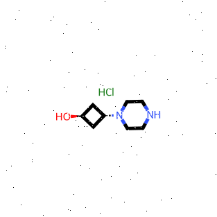 Cl.O[C@H]1C[C@H](N2CCNCC2)C1